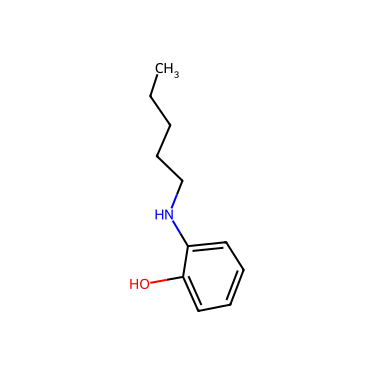 CCCCCNc1ccccc1O